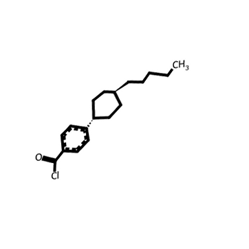 CCCCC[C@H]1CC[C@H](c2ccc(C(=O)Cl)cc2)CC1